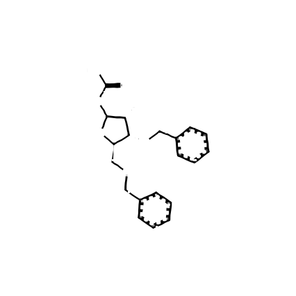 CC(=O)OC1O[C@H](COCc2ccccc2)[C@@H](OCc2ccccc2)[C@H]1F